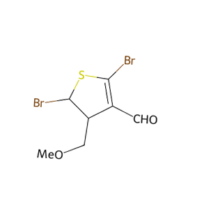 COCC1C(C=O)=C(Br)SC1Br